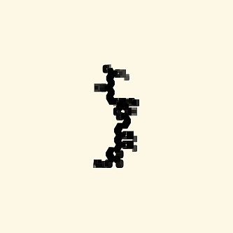 COC1=CC[C@@H]([C@@H](C)/C=C(C)/C=C\C=C/C(=O)NC(C(=O)N/C=C\C[C@@H](O)C/C=C(\C)Cl)C(C)(C)C)OC1=O